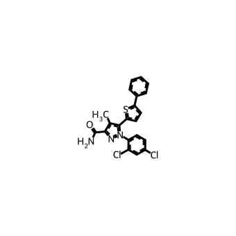 Cc1c(C(N)=O)nn(-c2ccc(Cl)cc2Cl)c1-c1ccc(-c2ccccc2)s1